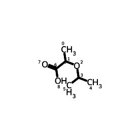 C[C](OC(C)C)C(=O)O